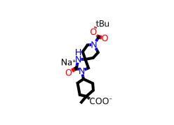 CC(C)(C)OC(=O)N1CCC2(CC1)CN(C1CCC(C)(C(=O)[O-])CC1)C(=O)N2.[Na+]